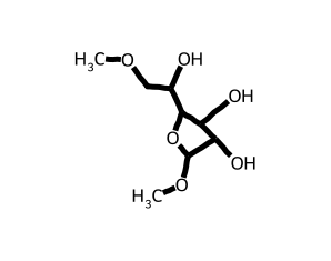 COCC(O)C1OC(OC)C(O)C1O